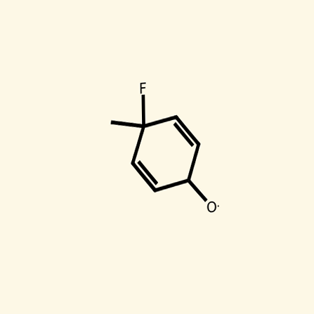 CC1(F)C=CC([O])C=C1